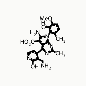 COc1ccc(C)c(-n2c(N)c(C(=O)O)c3c(-c4ccnc(O)c4CN)nc(C)nc32)c1C